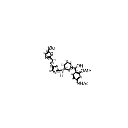 COc1cc(NC(C)=O)ccc1C(O)N1CCC[C@@H](Nc2ncc(SCc3ncc(C(C)(C)C)o3)s2)C1